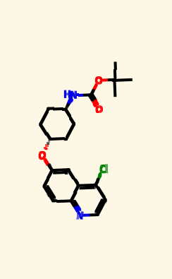 CC(C)(C)OC(=O)N[C@H]1CC[C@H](Oc2ccc3nccc(Cl)c3c2)CC1